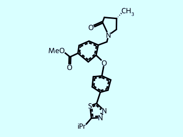 COC(=O)c1ccc(CN2C[C@@H](C)CC2=O)c(Oc2ccc(-c3nnc(C(C)C)s3)cc2)c1